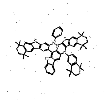 CC1(C)CCC(C)(C)c2cc(N3c4cc5c(oc6ccccc65)c5c4B(c4sc6cc7c(cc6c43)C(C)(C)CCC7(C)C)N(c3ccccc3)c3cc4sc6cc7c(cc6c4cc3-5)C(C)(C)CCC7(C)C)ccc21